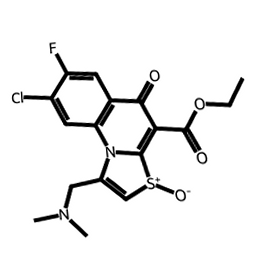 CCOC(=O)c1c(=O)c2cc(F)c(Cl)cc2n2c(CN(C)C)c[s+]([O-])c12